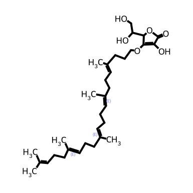 CC(C)=CCC/C(C)=C/CC/C(C)=C/CC/C=C(\C)CCC=C(C)CCCOC1=C(O)C(=O)OC1C(O)CO